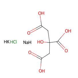 Cl.O=C(O)CC(O)(CC(=O)O)C(=O)O.[KH].[NaH]